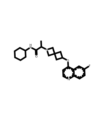 CC(C(=O)NC1CCCCC1)N1CC2(CC(Oc3ccnc4ccc(F)cc34)C2)C1